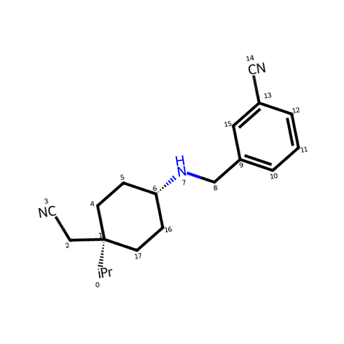 CC(C)[C@]1(CC#N)CC[C@H](NCc2cccc(C#N)c2)CC1